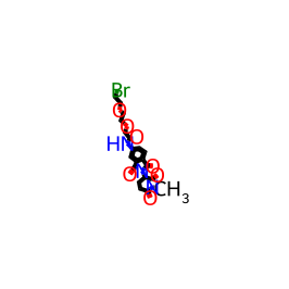 CN1C(=O)CCC(N2C(=O)c3ccc(NC(=O)COCCOCCBr)cc3C2=O)C1=O